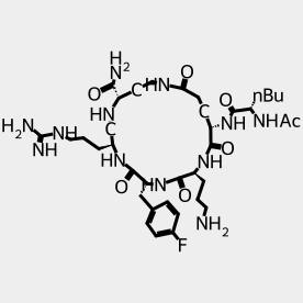 CCCC[C@H](NC(C)=O)C(=O)N[C@H]1CCC(=O)NCC[C@@H](C(N)=O)NC[C@H](CCCNC(=N)N)NC(=O)[C@@H](Cc2ccc(F)cc2)NC(=O)[C@H](CCCN)NC1=O